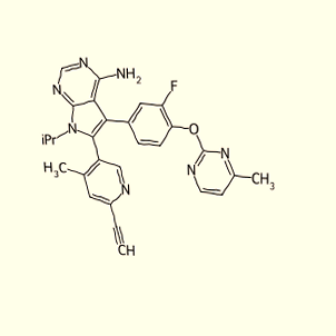 C#Cc1cc(C)c(-c2c(-c3ccc(Oc4nccc(C)n4)c(F)c3)c3c(N)ncnc3n2C(C)C)cn1